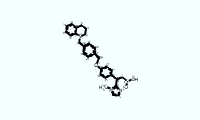 Cn1ccnc1C(CS(=O)O)c1ccc(OCc2ccc(CN3CCCc4ccccc43)cc2)cc1